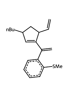 C=CC1CC(CCCC)C=C1C(=C)c1ccccc1SC